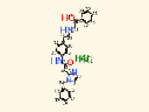 Cl.Cl.O=C(Cc1nccn1Cc1ccccc1)Nc1ccc(CCNC[C@H](O)c2ccccc2)cc1